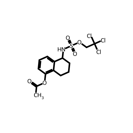 CC(=O)Oc1cccc2c1CCCC2NS(=O)(=O)OCC(Cl)(Cl)Cl